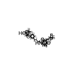 Cn1nc(NCCCCc2cccc(OC(C)(CC(C)(C)C)C(=O)O)c2)c(=O)n(CCCC(F)(F)F)c1=O